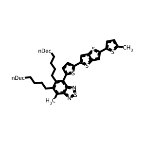 CCCCCCCCCCCCCCc1c(CCCCCCCCCCCCCC)c(-c2ccc(-c3cc4sc(-c5ccc(C)s5)cc4s3)s2)c2nsnc2c1C